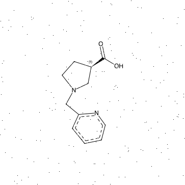 O=C(O)[C@@H]1CCN(Cc2ccccn2)C1